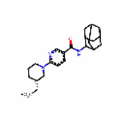 O=C(O)C[C@@H]1CCCN(c2ccc(C(=O)NC3C4CC5CC(C4)CC3C5)cn2)C1